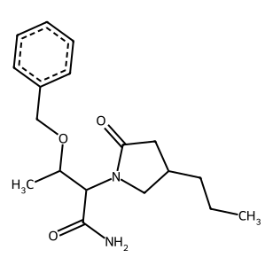 CCCC1CC(=O)N(C(C(N)=O)C(C)OCc2ccccc2)C1